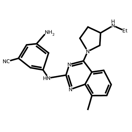 CCNC1CCN(c2nc(Nc3cc(N)cc(C#N)c3)nc3c(C)cccc23)C1